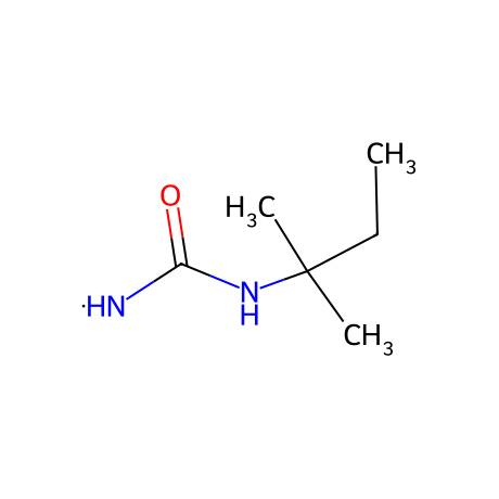 CCC(C)(C)NC([NH])=O